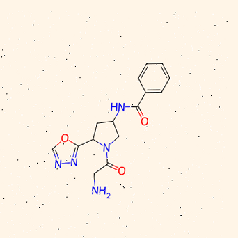 NCC(=O)N1CC(NC(=O)c2ccccc2)CC1c1nnco1